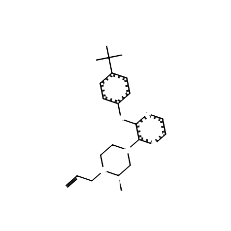 C=CCN1CCN(c2nccnc2Nc2ccc(C(F)(F)F)cc2)C[C@H]1C